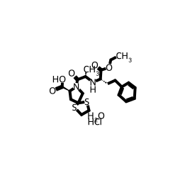 CCOC(=O)[C@H](CCc1ccccc1)N[C@@H](C)C(=O)N1CC2(C[C@H]1C(=O)O)SCCS2.Cl.O